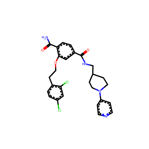 NC(=O)c1ccc(C(=O)NCC2CCN(c3ccncc3)CC2)cc1OCCc1ccc(Cl)cc1Cl